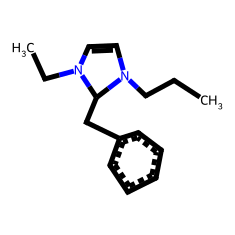 CCCN1C=CN(CC)C1Cc1ccccc1